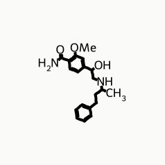 COc1cc(C(O)CNC(C)CCc2ccccc2)ccc1C(N)=O